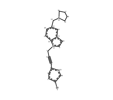 Brc1ccc(C#CCn2ccc3cc(CN4CCCC4)ccc32)nc1